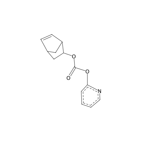 O=C(Oc1ccccn1)OC1CC2C=CC1C2